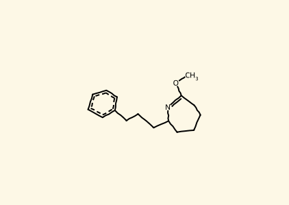 COC1=NC(CCCc2ccccc2)CCCC1